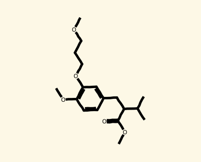 COCCCOc1cc(CC(C(=O)OC)C(C)C)ccc1OC